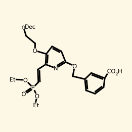 CCCCCCCCCCCCOc1ccc(OCc2cccc(C(=O)O)c2)nc1C=CP(=O)(OCC)OCC